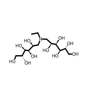 CCN(C[C@H](O)[C@@H](O)[C@H](O)[C@H](O)CO)C[C@H](O)[C@@H](O)[C@H](O)[C@H](O)CO